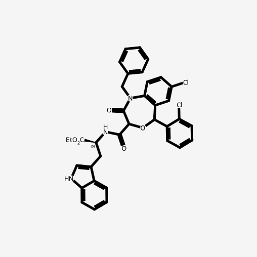 CCOC(=O)[C@H](Cc1c[nH]c2ccccc12)NC(=O)C1OC(c2ccccc2Cl)c2cc(Cl)ccc2N(Cc2ccccc2)C1=O